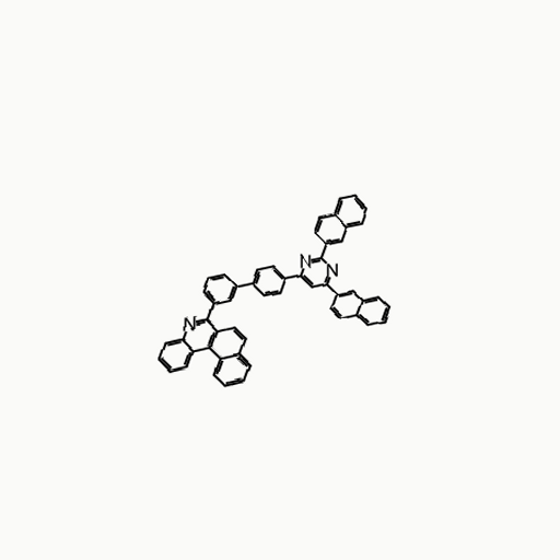 c1cc(-c2ccc(-c3cc(-c4ccc5ccccc5c4)nc(-c4ccc5ccccc5c4)n3)cc2)cc(-c2nc3ccccc3c3c2ccc2ccccc23)c1